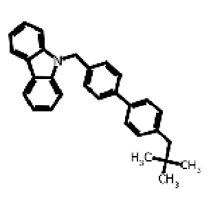 CC(C)(C)Cc1ccc(-c2ccc(Cn3c4ccccc4c4ccccc43)cc2)cc1